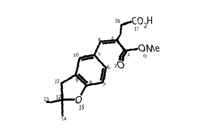 COC(=O)C(=Cc1ccc2c(c1)CC(C)(C)O2)CC(=O)O